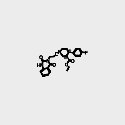 CCOC(=O)[C@H]1CN(CCCn2c(=O)[nH]c3ccccc3c2=O)CC[C@H]1c1ccc(F)cc1